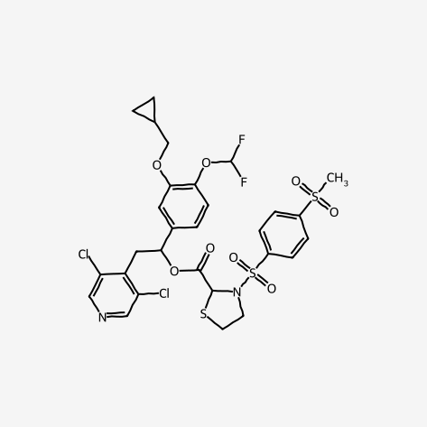 CS(=O)(=O)c1ccc(S(=O)(=O)N2CCSC2C(=O)OC(Cc2c(Cl)cncc2Cl)c2ccc(OC(F)F)c(OCC3CC3)c2)cc1